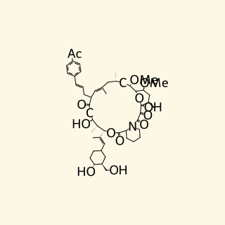 CO[C@H]1C[C@@H](C)C/C(C)=C/C(C/C=C/c2ccc(C(C)=O)cc2)C(=O)C[C@H](O)[C@@H](C)[C@@H](/C(C)=C/C2CC[C@@H](O)[C@H](CO)C2)OC(=O)C2CCCCN2C(=O)C(=O)[C@]2(O)OC1[C@@H](OC)C[C@H]2C